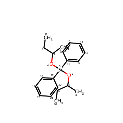 CCC(C)O[Si](OC(C)CC)(c1ccccc1)c1ccccc1